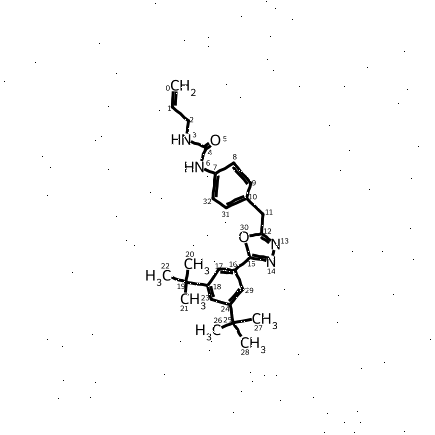 C=CCNC(=O)Nc1ccc(Cc2nnc(-c3cc(C(C)(C)C)cc(C(C)(C)C)c3)o2)cc1